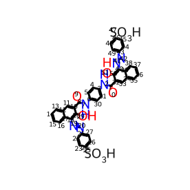 O=C(Nc1ccc(NC(=O)c2cc3ccccc3c(/N=N/c3ccc(S(=O)(=O)O)cc3)c2O)cc1)c1cc2ccccc2c(/N=N/c2ccc(S(=O)(=O)O)cc2)c1O